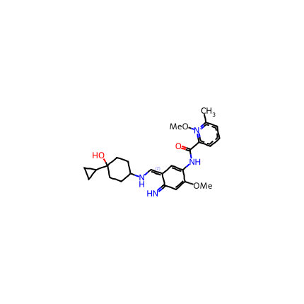 COC1=CC(=N)/C(=C\NC2CCC(O)(C3CC3)CC2)C=C1NC(=O)c1cccc(C)[n+]1OC